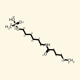 CSCCCC(=O)NCCCCCCOP(C)(=O)O